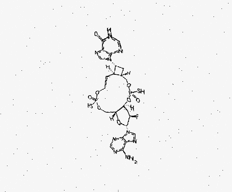 Nc1ncnc2c1ncn2[C@@H]1O[C@@H]2COP(=O)(S)O/C=C/[C@@H]3[C@@H](COP(=O)(S)O[C@H]2[C@H]1F)C[C@H]3n1cnc2c(=O)[nH]cnc21